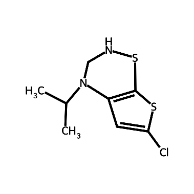 CC(C)N1CNSc2sc(Cl)cc21